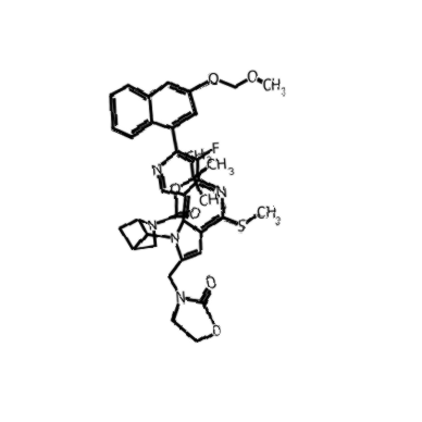 COCOc1cc(-c2ncc3c(nc(SC)c4cc(CN5CCOC5=O)n(C5C6CC5N(C(=O)OC(C)(C)C)C6)c43)c2F)c2ccccc2c1